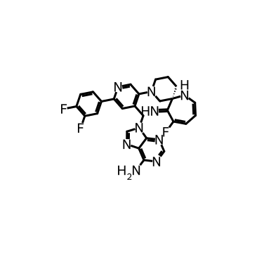 N=C1C(F)=CC=CN[C@@]12CCCN(c1cnc(-c3ccc(F)c(F)c3)cc1Cn1cnc3c(N)ncnc31)C2